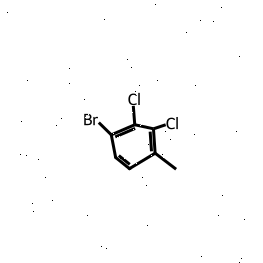 Cc1ccc(Br)c(Cl)c1Cl